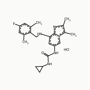 Cc1cc(F)cc(C)c1CNc1cc(NC(=O)NC2CC2)cn2c(C)c(C)nc12.Cl